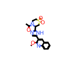 COc1nc2ccccc2cc1-c1cnc(C2CS(=O)(=O)CCN2C(C)=O)[nH]1